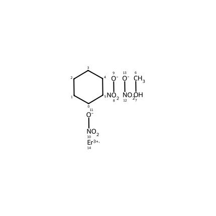 C1CCCCC1.CO.O=[N+]([O-])[O-].O=[N+]([O-])[O-].O=[N+]([O-])[O-].[Er+3]